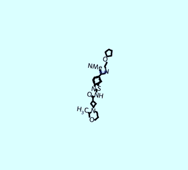 CN/C=C(\C=N/CCOC1CCCC1)c1ccc2nc(NC(=O)C3CC(N4CCCOCC4C)C3)sc2c1